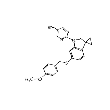 COc1ccc(CSc2ccc3c(c2)N(c2ncc(Br)cn2)CC32CC2)cc1